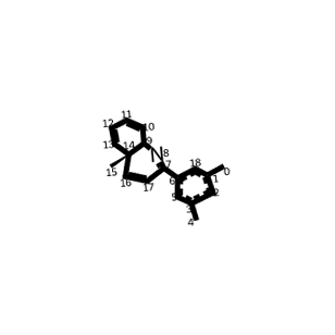 Cc1cc(C)cc(C2=NC3C=CC=C[C@@]3(C)C=C2)c1